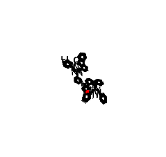 CC1(C)c2ccccc2-c2cccc(-c3nc(-c4ccccc4)nc(-c4cccc(-n5c6ccccc6c6c5ccc5c7ccccc7n(-c7nc(-c8ccccc8)nc(-c8ccccc8)n7)c56)c4)n3)c21